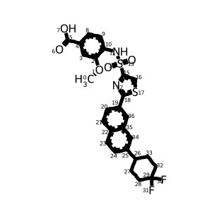 COc1cc(C(=O)O)ccc1NS(=O)(=O)c1csc(-c2ccc3ccc(C4CCC(F)(F)CC4)cc3c2)n1